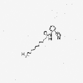 C=CCCCCCCCCC(=O)Nc1ccccc1-n1ccnc1